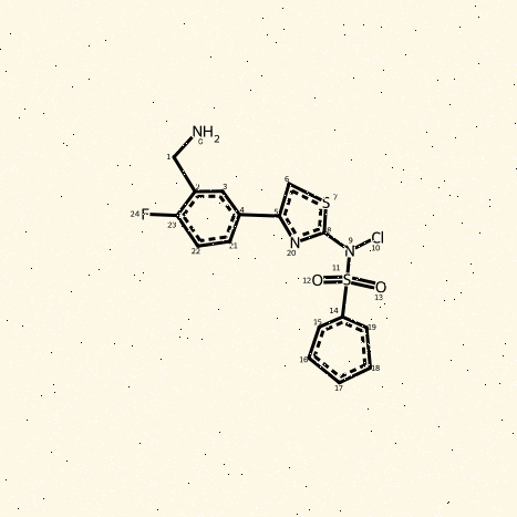 NCc1cc(-c2csc(N(Cl)S(=O)(=O)c3ccccc3)n2)ccc1F